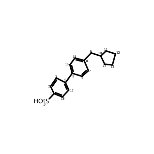 O=S(=O)(O)c1ccc(-c2ccc(CC3CCCC3)cc2)cc1